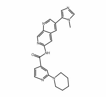 Cn1cncc1-c1cnc2cnc(NC(=O)c3ccnc(N4CCCCC4)c3)cc2c1